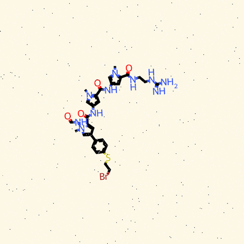 Cn1cc(NC(=O)c2cc(NC(=O)C3=CC(c4ccc(SCCBr)cc4)=C[N+]3(C)NC=O)cn2C)cc1C(=O)NCCNC(=N)N